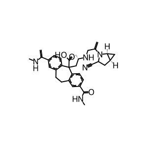 C=C(NC)c1ccc2c(c1)CCc1cc(C(=O)NC)ccc1C2(C[C@H](C)NCC(=C)N1C(C#N)C[C@@H]2C[C@@H]21)C(=O)O